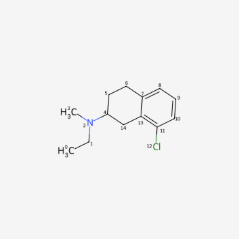 CCN(C)C1CCc2cccc(Cl)c2C1